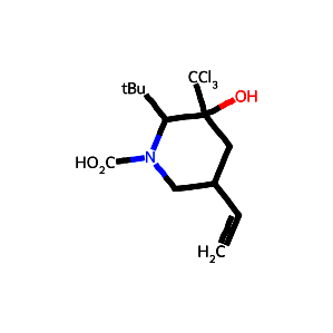 C=CC1CN(C(=O)O)C(C(C)(C)C)C(O)(C(Cl)(Cl)Cl)C1